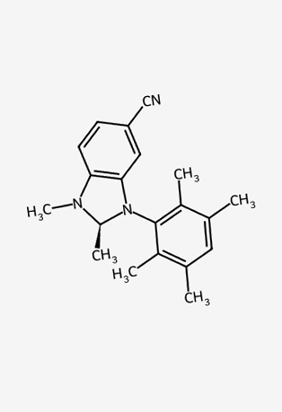 Cc1cc(C)c(C)c(N2c3cc(C#N)ccc3N(C)[C@@H]2C)c1C